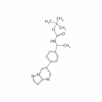 CC(NC(=O)OC(C)(C)C)c1ccc(-c2cnc3ccnn3c2)cc1